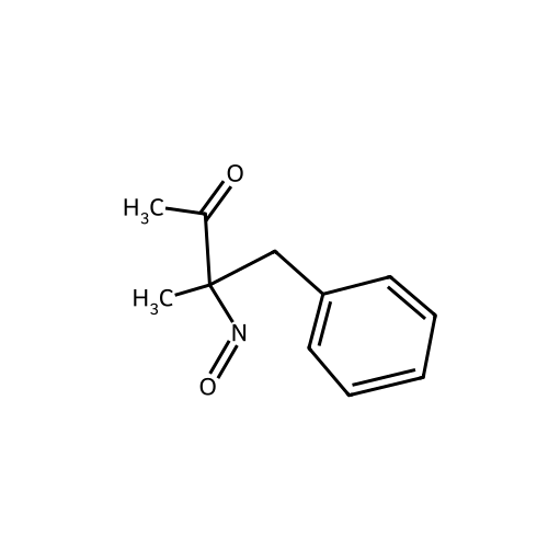 CC(=O)C(C)(Cc1ccccc1)N=O